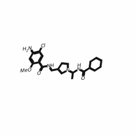 COc1cc(N)c(Cl)cc1C(=O)NCC1CCN(C(C)NC(=O)C2CCCCC2)C1